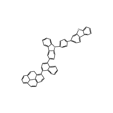 C1=CC2=CCc3c(-c4ccc(-c5ccc6c(c5)c5ccccc5n6-c5ccc(-c6ccc7c(c6)oc6ccccc67)cc5)c5ccccc45)ccc4c3C2C(=C1)C=C4